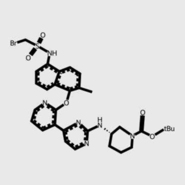 Cc1ccc2c(NS(=O)(=O)CBr)cccc2c1Oc1ncccc1-c1ccnc(N[C@H]2CCCN(C(=O)OC(C)(C)C)C2)n1